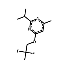 Cc1cc(OCC(C)(F)F)nc(C(C)C)n1